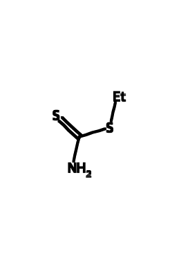 CCSC(N)=S